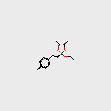 CCO[Si](CCc1ccc(C)cc1)(OCC)OCC